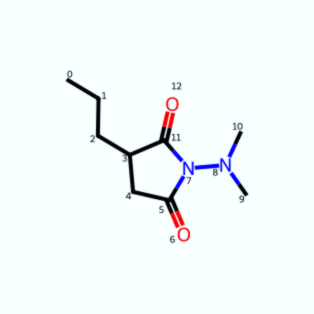 CCCC1CC(=O)N(N(C)C)C1=O